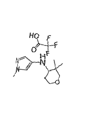 Cn1cc(NC2CCOCC2(C)C)cn1.O=C(O)C(F)(F)F